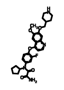 COc1cc2c(Oc3ccc(N(C(=O)C(N)=O)C4CCCC4)cc3F)ccnc2cc1OCC1CCNCC1